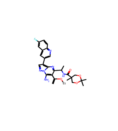 C=C(OCC)c1c(C(C)NC(=O)C2(C)COC(C)(C)OC2)nc2c(-c3cnc4ccc(F)cc4c3)cnn2c1N